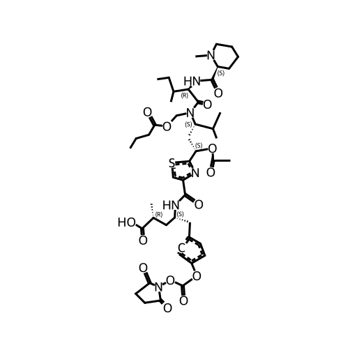 CCCC(=O)OCN(C(=O)[C@H](NC(=O)[C@@H]1CCCCN1C)C(C)CC)[C@@H](C[C@H](OC(C)=O)c1nc(C(=O)N[C@H](Cc2ccc(OC(=O)ON3C(=O)CCC3=O)cc2)C[C@@H](C)C(=O)O)cs1)C(C)C